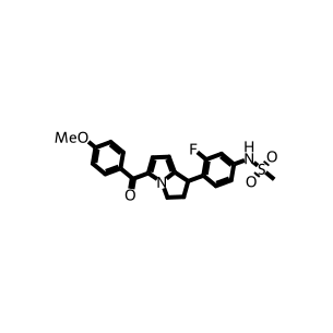 COc1ccc(C(=O)c2ccc3n2CCC3c2ccc(NS(C)(=O)=O)cc2F)cc1